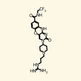 N=C(N)NCCCN1CCC(n2cc3c(nc2=O)Nc2cc(C(=O)NCC(F)(F)F)ccc2O3)CC1